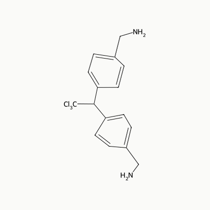 NCc1ccc(C(c2ccc(CN)cc2)C(Cl)(Cl)Cl)cc1